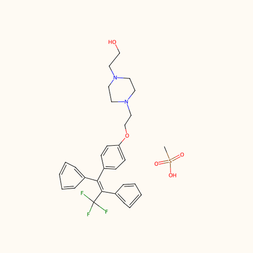 CS(=O)(=O)O.OCCN1CCN(CCOc2ccc(/C(=C(\c3ccccc3)C(F)(F)F)c3ccccc3)cc2)CC1